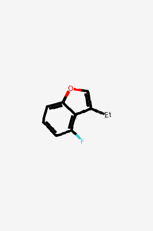 [CH2]Cc1coc2cccc(F)c12